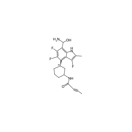 CC#CC(=O)NC1CCC[C@@H](c2c(F)c(F)c(C(N)O)c3[nH]c(C)c(F)c23)C1